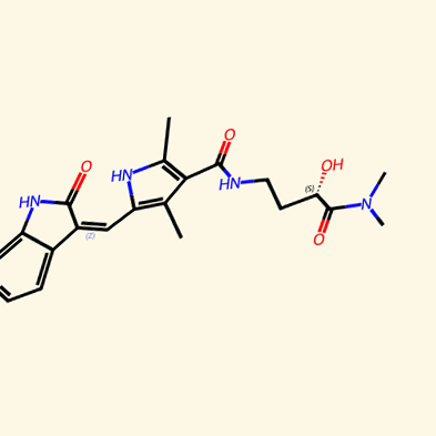 Cc1[nH]c(/C=C2\C(=O)Nc3ccccc32)c(C)c1C(=O)NCC[C@H](O)C(=O)N(C)C